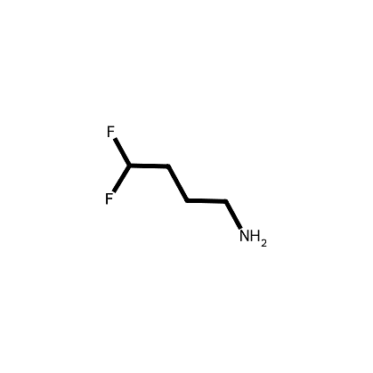 NCCC[C](F)F